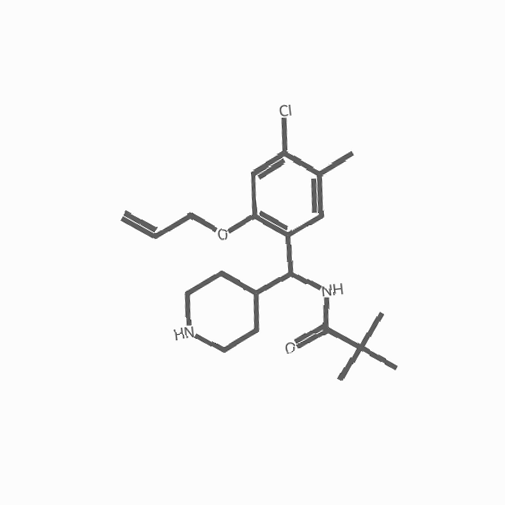 C=CCOc1cc(Cl)c(C)cc1C(NC(=O)C(C)(C)C)C1CCNCC1